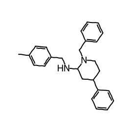 Cc1ccc(CNC2CC(c3ccccc3)CCN2Cc2ccccc2)cc1